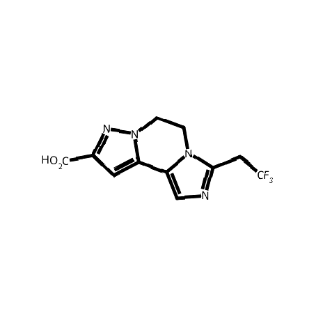 O=C(O)c1cc2n(n1)CCn1c-2cnc1CC(F)(F)F